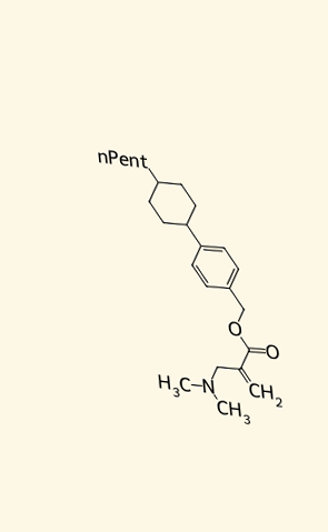 C=C(CN(C)C)C(=O)OCc1ccc(C2CCC(CCCCC)CC2)cc1